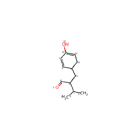 CC(C)C(C=O)CC1C=CC(O)=CC1